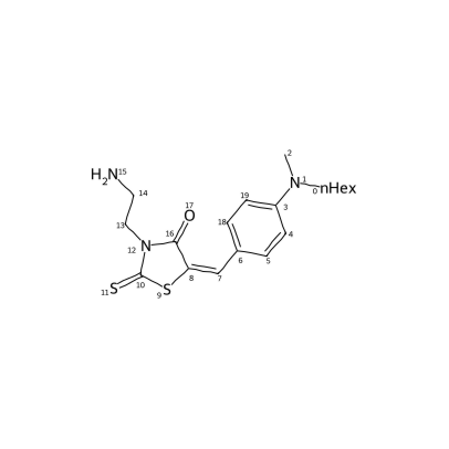 CCCCCCN(C)c1ccc(C=C2SC(=S)N(CCN)C2=O)cc1